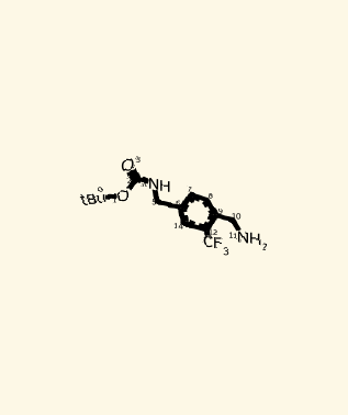 CC(C)(C)OC(=O)NCc1ccc(CN)c(C(F)(F)F)c1